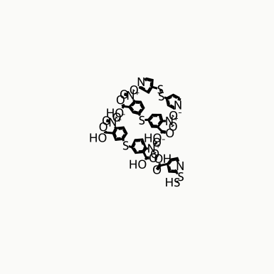 O=C(O)c1cc(Sc2ccc([N+](=O)[O-])c(C(=O)O)c2)ccc1[N+](=O)[O-].O=C(O)c1cc(Sc2ccc([N+](=O)[O-])c(C(=O)O)c2)ccc1[N+](=O)[O-].O=C(O)c1ccnc(SS)c1.c1cc(SSc2ccncc2)ccn1